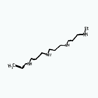 C=CCNCCCNCCCNCCCNCC